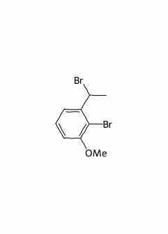 COc1cccc(C(C)Br)c1Br